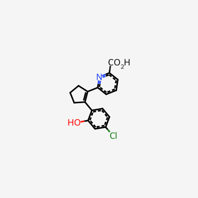 O=C(O)c1cccc(C2=C(c3ccc(Cl)cc3O)CCC2)n1